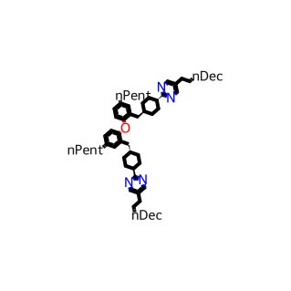 CCCCCCCCCCCCc1cnc([C@H]2CC[C@H](Cc3cc(CCCCC)ccc3Oc3ccc(CCCCC)cc3C[C@H]3CC[C@H](c4ncc(CCCCCCCCCCCC)cn4)CC3)CC2)nc1